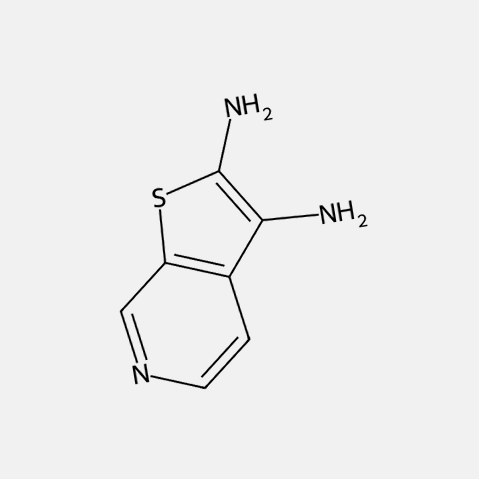 Nc1sc2cnccc2c1N